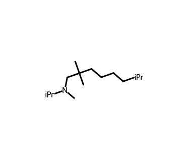 CC(C)CCCCC(C)(C)CN(C)C(C)C